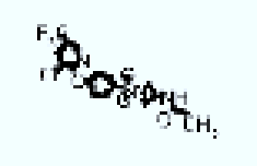 C=CC(=O)NC1CN(S(=O)(=O)c2ccc(Oc3ncc(C(F)(F)F)cc3Cl)cc2)C1